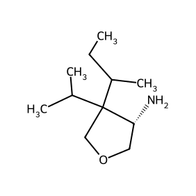 CCC(C)C1(C(C)C)COC[C@H]1N